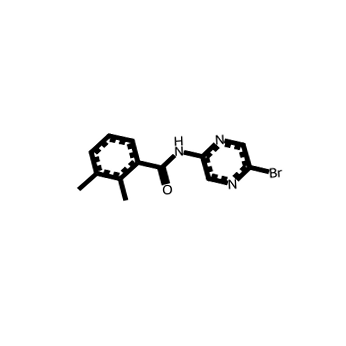 Cc1cccc(C(=O)Nc2cnc(Br)cn2)c1C